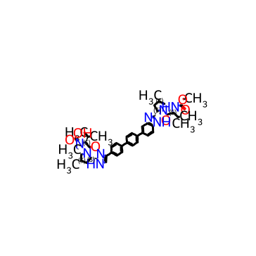 COC(=O)N[C@H](C(=O)N1C[C@@H](C)C[C@H]1c1nc2cc(-c3ccc(-c4ccc(-c5c[nH]c([C@@H]6C[C@H](C)CN6C(=O)[C@H](C(C)C)N(C)C(=O)O)n5)cc4)cc3)ccc2[nH]1)C(C)C